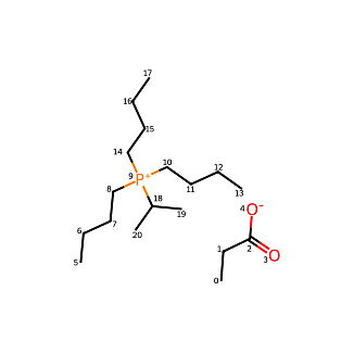 CCC(=O)[O-].CCCC[P+](CCCC)(CCCC)C(C)C